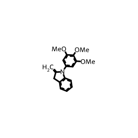 C=C1Cc2ccccc2N1c1cc(OC)c(OC)c(OC)c1